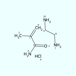 C=C(C)C(N)=O.Cl.NCCN